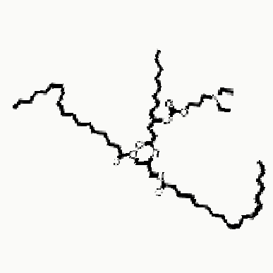 CCCCC/C=C\C/C=C\CCCCCCCC(=O)OCC(COC(=O)CCCCCCC/C=C\C/C=C\CCCCC)OC(=O)CCC(CCCCCCCC)OC(=O)OCCCN(CC)CC